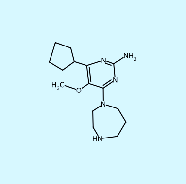 COc1c(C2CCCC2)nc(N)nc1N1CCCNCC1